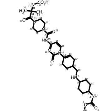 CC(C)(C)OC(=O)NC1CCC(NCC2CC=C(n3ccc(NC(=O)N4CCN(C(=O)C(C)(C)NC(=O)O)CC4)nc3=O)CC2)CC1